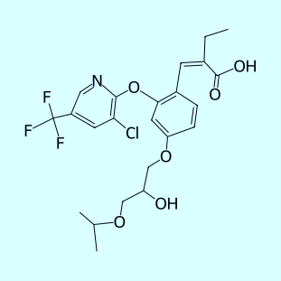 CCC(=Cc1ccc(OCC(O)COC(C)C)cc1Oc1ncc(C(F)(F)F)cc1Cl)C(=O)O